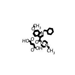 CCN1CCN(C(=O)c2cn(CC3CCCCC3)c3cc(OC)ccc23)CC1.O=C(O)C=CC(=O)O